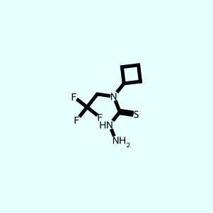 NNC(=S)N(CC(F)(F)F)C1CCC1